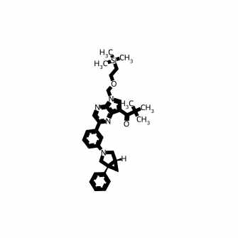 CC(C)(C)C(=O)c1cn(COCC[Si](C)(C)C)c2ncc(-c3cccc(N4C[C@@H]5C[C@]5(c5ccccc5)C4)c3)nc12